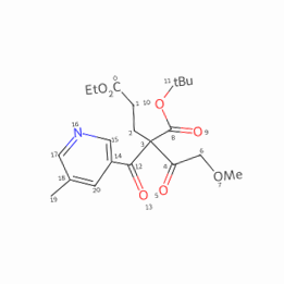 CCOC(=O)CCC(C(=O)COC)(C(=O)OC(C)(C)C)C(=O)c1cncc(C)c1